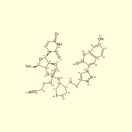 [2H]C[C@H]1O[C@@H](n2ccc(=O)[nH]c2=O)[C@@H](OC)C1OP(=O)(OCCC#N)OC1CSSC[C@H]1OCc1cn(-c2cc3ccc(O)cc3oc2=O)nn1